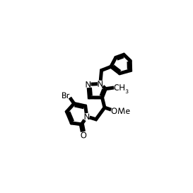 COC(Cn1cc(Br)ccc1=O)c1cnn(Cc2ccccc2)c1C